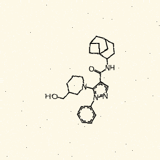 O=C(NC1CCC2CC3CC1(C2)C3)c1cnn(-c2ccccc2)c1N1CCCC(CO)C1